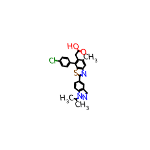 Cc1cc2nc(-c3ccc4c(cnn4C(C)C)c3)sc2c(-c2ccc(Cl)cc2)c1CC(=O)O